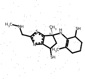 CNCc1nc2c(s1)[C@@](C)(NC1=C(C)CCCC1S)CC2S